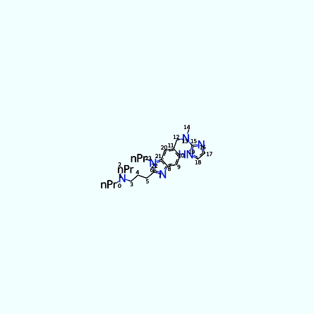 CCCN(CCC)CCCc1nc2ccc(CN(C)c3ncc[nH]3)cc2n1CCC